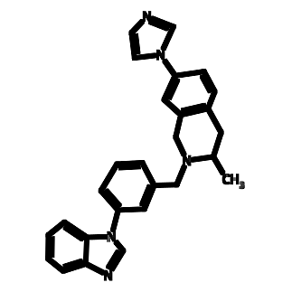 CC1Cc2ccc(-n3ccnc3)cc2CN1Cc1cccc(-n2cnc3ccccc32)c1